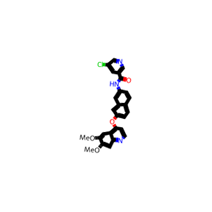 COc1cc2nccc(Oc3ccc4ccc(NC(=O)c5cncc(Cl)c5)cc4c3)c2cc1OC